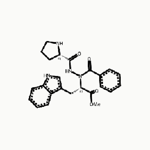 COC(=O)[C@H](Cc1c[nH]c2ccccc12)N(NC(=O)[C@@H]1CCCN1)C(=O)c1ccccc1